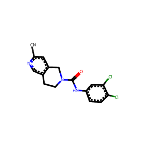 N#Cc1cc2c(cn1)CCN(C(=O)Nc1ccc(Cl)c(Cl)c1)C2